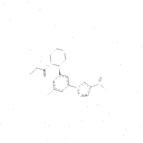 C=CC(=O)N1CCOC[C@H]1c1cc(Cl)cc(-n2cc([N+](=O)[O-])cn2)c1